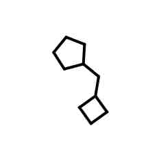 C1C[C](CC2CCCC2)C1